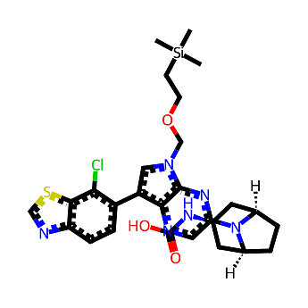 C[Si](C)(C)CCOCn1cc(-c2ccc3ncsc3c2Cl)c2ncc(N3[C@@H]4CC[C@H]3C[C@@H](NC(=O)O)C4)nc21